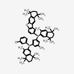 Cc1cc(N(c2cccc(Cl)c2)c2cc3c(cc2C)C(C)(C)CCC3(C)C)cc(N(c2ccc3oc4cc5c(cc4c3c2)C(C)(C)CCC5(C)C)c2cc3c(cc2C)C(C)(C)CCC3(C)C)c1